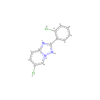 Clc1ccc2nc(-c3ccccc3Cl)nn2c1